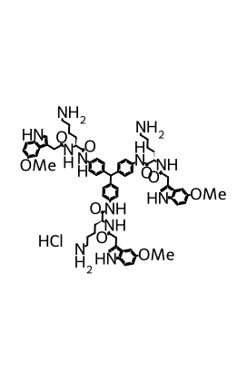 COc1ccc2[nH]cc(CC(=O)N[C@@H](CCCCN)C(=O)Nc3ccc(C(c4ccc(NC(=O)[C@H](CCCCN)NC(=O)Cc5c[nH]c6ccc(OC)cc56)cc4)c4ccc(NC(=O)[C@H](CCCCN)NC(=O)Cc5c[nH]c6ccc(OC)cc56)cc4)cc3)c2c1.Cl